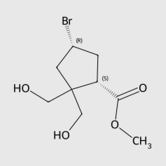 COC(=O)[C@H]1C[C@@H](Br)CC1(CO)CO